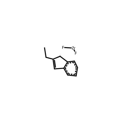 CCC1=Cc2ccccc2[CH]1.[F][Zr][F]